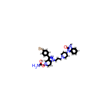 Cn1c(=O)n(C2CCN(CCCn3nc(-c4ccc(Br)cc4)c4c3CCN(OC(N)=O)C4)CC2)c2ccccc21